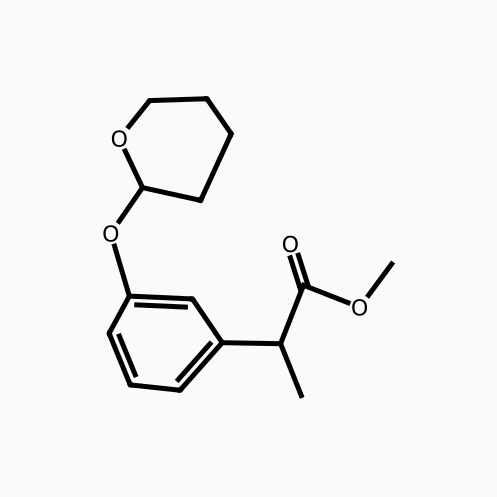 COC(=O)C(C)c1cccc(OC2CCCCO2)c1